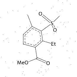 CCc1c(C(=O)OC)ccc(C)c1S(C)(=O)=O